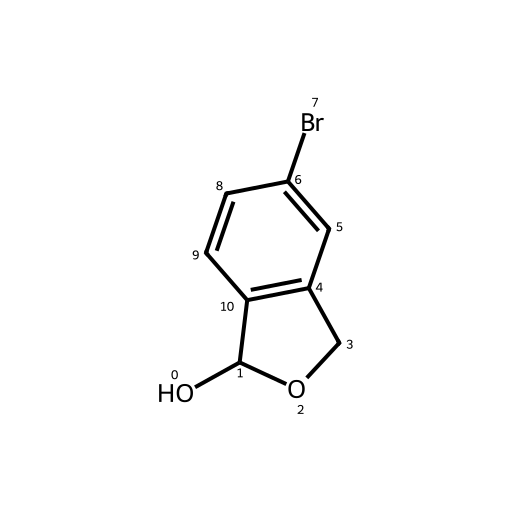 OC1OCc2cc(Br)ccc21